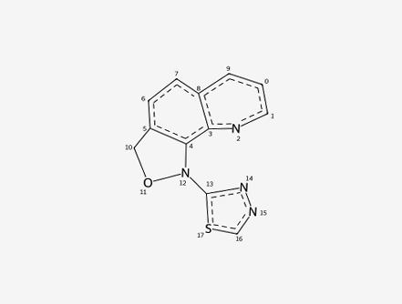 c1cnc2c3c(ccc2c1)CON3c1nncs1